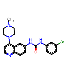 CN1CCN(c2ccnc3ccc(NC(=O)Nc4cccc(Br)c4)cc23)CC1